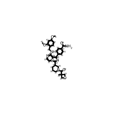 COc1ccc(CNc2nccn3c(C4CCCN(C(=O)C5(C)COC5)C4)nc(-c4ccc(C(N)=O)cc4)c23)c(OC)c1